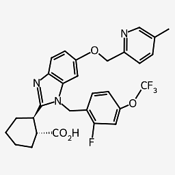 Cc1ccc(COc2ccc3nc([C@@H]4CCCC[C@H]4C(=O)O)n(Cc4ccc(OC(F)(F)F)cc4F)c3c2)nc1